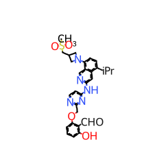 CC(C)c1ccc(N2CC(CS(C)(=O)=O)C2)c2cnc(Nc3ccnc(COc4cccc(O)c4C=O)n3)cc12